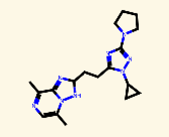 CC1=CN=C(C)C2=NC(CCc3nc(N4CCCC4)nn3C3CC3)NN12